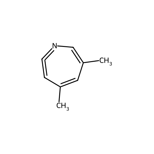 CC1=CN=C=CC(C)=C1